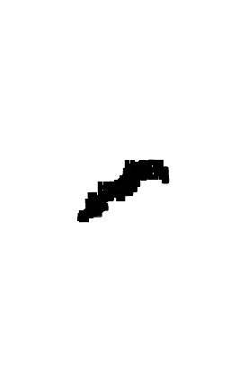 CC(C)(C)OC(=O)N1CC2CN(C[C@H](O)COc3ccc(C#N)cc3)CC(C1)O2